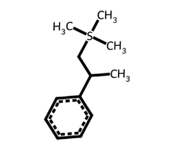 CC(CS(C)(C)C)c1ccccc1